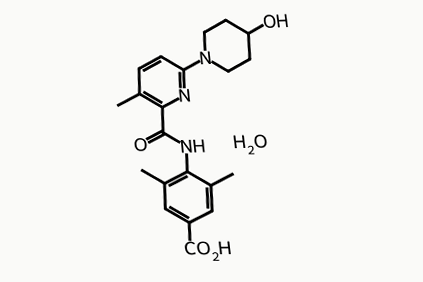 Cc1ccc(N2CCC(O)CC2)nc1C(=O)Nc1c(C)cc(C(=O)O)cc1C.O